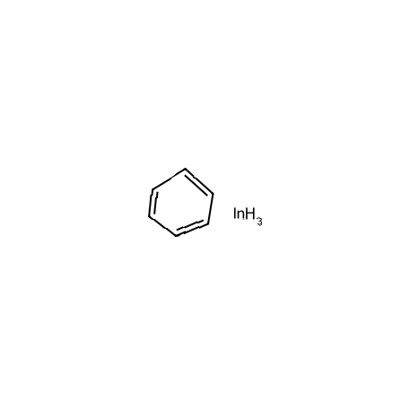 [InH3].c1ccccc1